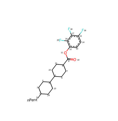 CCCCCC1CCC(C2CCC(C(=O)Oc3ccc(F)c(F)c3F)CC2)CC1